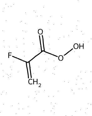 C=C(F)C(=O)OO